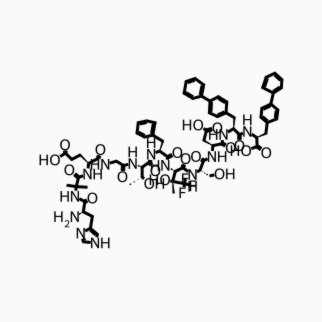 C[C@@H](O)[C@H](NC(=O)CNC(=O)[C@H](CCC(=O)O)NC(=O)C(C)(C)NC(=O)[C@@H](N)Cc1c[nH]cn1)C(=O)N[C@@H](Cc1ccccc1)C(=O)N[C@H](C(=O)N[C@@H](CO)C(=O)N[C@@H](CC(=O)O)C(=O)N[C@@H](Cc1ccc(-c2ccccc2)cc1)C(=O)N[C@@H](Cc1ccc(-c2ccccc2)cc1)C(=O)O)[C@@](C)(O)C(F)(F)F